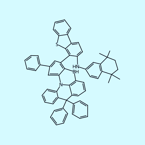 CC1(C)CCC(C)(C)c2cc(Nc3ccc4c(sc5ccccc54)c3-c3cc(-c4ccccc4)cc4c3Bc3cccc5c3N4c3ccccc3C5(c3ccccc3)c3ccccc3)ccc21